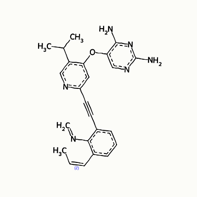 C=Nc1c(C#Cc2cc(Oc3cnc(N)nc3N)c(C(C)C)cn2)cccc1/C=C\C